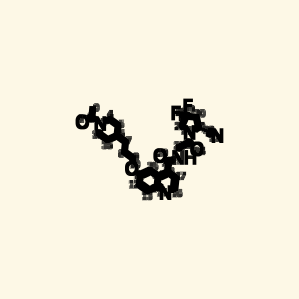 CC(=O)N1CCC(CCCOc2ccc3nccc(C(=O)NCC(=O)N4CC(F)(F)C[C@@H]4C#N)c3c2)CC1